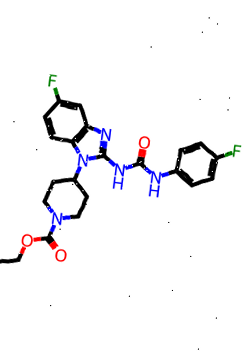 CCOC(=O)N1CCC(n2c(NC(=O)Nc3ccc(F)cc3)nc3cc(F)ccc32)CC1